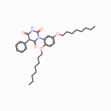 CCCCCCCCOc1ccc(OCCCCCCCC)c(N2C(=O)NC(=O)C(c3ccccc3)C2=O)c1